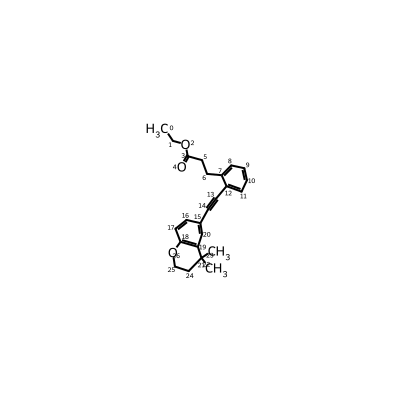 CCOC(=O)CCc1ccccc1C#Cc1ccc2c(c1)C(C)(C)CCO2